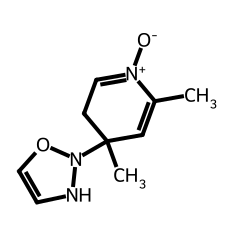 CC1=CC(C)(N2NC=CO2)CC=[N+]1[O-]